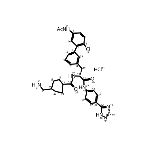 CC(=O)Nc1ccc(Cl)c(-c2cccc(C[C@H](NC(=O)C3CCC(CN)CC3)C(=O)Nc3ccc(-c4nnn[nH]4)cc3)c2)c1.Cl